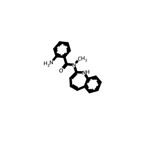 CN(C(=O)c1ccccc1N)C1=CC=Cc2ccccc2N1